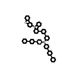 C1=CC(N(c2ccc(-c3ccc(-c4ccccc4)cc3)cc2)c2cccc(-c3cccc(-c4cccc5c4c4ccccc4n5-c4ccc5oc6ccccc6c5c4)c3)c2)CC=C1c1ccc(-c2ccccc2)cc1